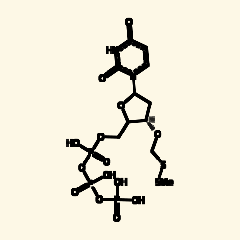 CSSCO[C@H]1CC(n2ccc(=O)[nH]c2=O)OC1COP(=O)(O)OP(=O)(O)OP(=O)(O)O